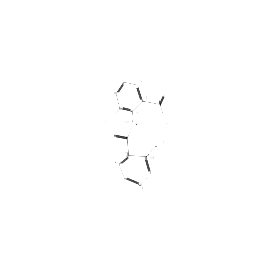 Cc1cccc(C(=O)O)c1NC(=O)c1ccccc1I